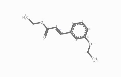 CCOC(=O)/C=C/c1cccc(OCC)c1